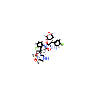 COC(=O)N(C(=O)[C@@H](N)[C@@H](c1ccc(F)cc1)C1CCOCC1)c1cccc(F)c1CC[C@H]1CNC[C@H](C)N1S(C)(=O)=O